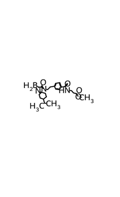 BC1=NC2(CCC(C(C)C)CC2)N(CCc2ccc(C(=O)NCCC(=O)OC)cc2)C1=O